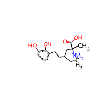 CCC(CCc1cccc(O)c1O)CC(C)(N)C(=O)O